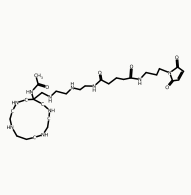 CC(=O)NC1(CNCCNCCNC(=O)CCCC(=O)NCCCN2C(=O)C=CC2=O)CNCCNCCCNCCNC1